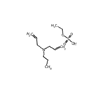 C=CCN(CC=C)CCC.CCOS(=O)(=O)O